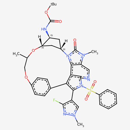 CC1COc2ccc(cc2)-c2c(-c3cn(C)nc3F)n(S(=O)(=O)c3ccccc3)c3ncc4c(c23)n(c(=O)n4C)[C@H]2C[C@H](NC(=O)OC(C)(C)C)[C@H](C2)O1